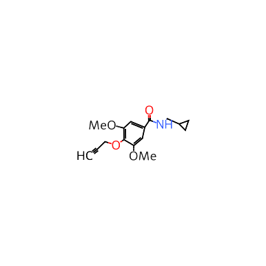 C#CCOc1c(OC)cc(C(=O)NCC2CC2)cc1OC